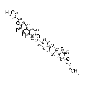 CCCCOc1ccc(C2=CCC(C3CCC(COc4ccc(-c5ccc(OCCCC)c(F)c5F)c(F)c4F)CC3)CC2)c(F)c1F